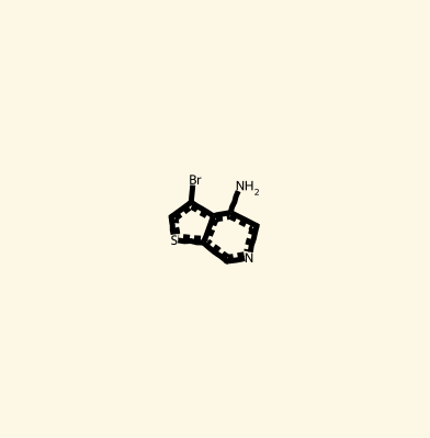 Nc1cncc2scc(Br)c12